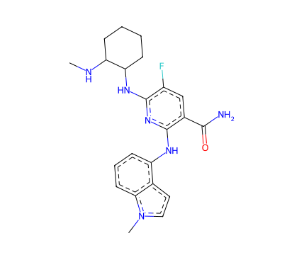 CNC1CCCCC1Nc1nc(Nc2cccc3c2ccn3C)c(C(N)=O)cc1F